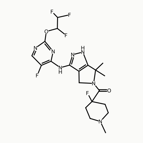 CN1CCC(F)(C(=O)N2Cc3c(Nc4nc(OC(F)C(F)F)ncc4F)n[nH]c3C2(C)C)CC1